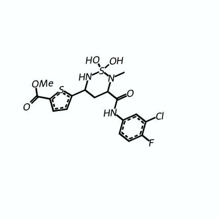 COC(=O)c1ccc(C2CC(C(=O)Nc3ccc(F)c(Cl)c3)N(C)S(O)(O)N2)s1